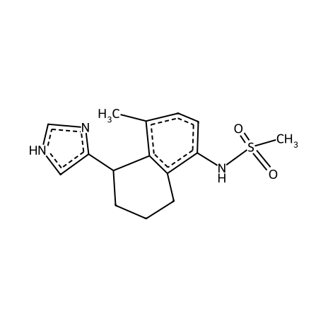 Cc1ccc(NS(C)(=O)=O)c2c1C(c1c[nH]cn1)CCC2